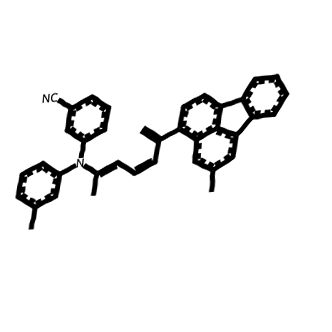 C=C(/C=C\C=C(/C)N(c1cccc(C)c1)c1cccc(C#N)c1)c1ccc2c3c(cc(C)cc13)-c1ccccc1-2